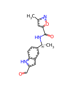 Cc1cc(C(=O)N[C@H](C)c2ccc3[nH]c(C=O)cc3c2)on1